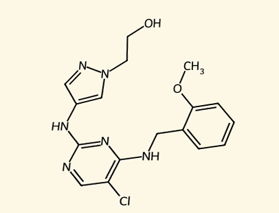 COc1ccccc1CNc1nc(Nc2cnn(CCO)c2)ncc1Cl